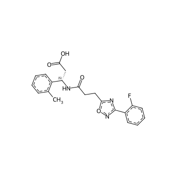 Cc1ccccc1[C@H](CC(=O)O)NC(=O)CCc1nc(-c2ccccc2F)no1